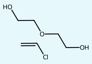 C=CCl.OCCOCCO